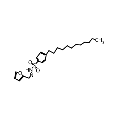 CCCCCCCCCCCCc1ccc(S(=O)(=O)N/N=C\c2ccco2)cc1